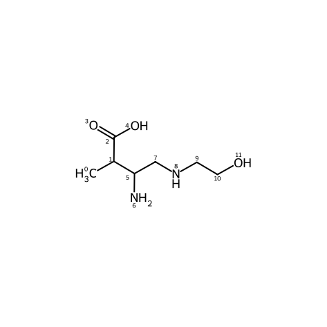 CC(C(=O)O)C(N)CNCCO